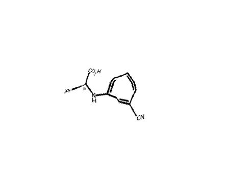 CC(C)[C@H](Nc1cccc(C#N)c1)C(=O)O